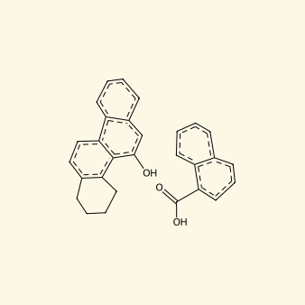 O=C(O)c1cccc2ccccc12.Oc1cc2ccccc2c2ccc3c(c12)CCCC3